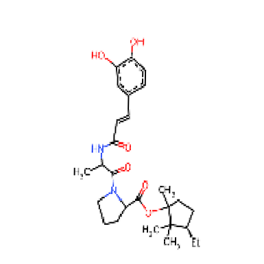 CC[C@@H]1CCC(C)(OC(=O)C2CCCN2C(=O)C(C)NC(=O)/C=C/c2ccc(O)c(O)c2)C1(C)C